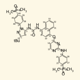 CC(C)(C)c1cc(NC(=O)Nc2ccc(Oc3ccnc(Nc4ccc(P(C)(C)=O)cc4)n3)c3ccccc23)n(-c2ccc(P(C)(C)=O)cc2)n1